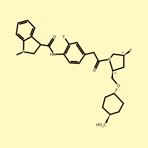 CN1CC(C(=O)Nc2ccc(CC(=O)N3C[C@@H](F)C[C@H]3CO[C@H]3CC[C@H](C(=O)O)CC3)cc2F)c2ccccc21